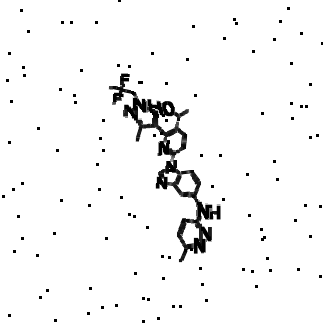 Cc1ccc(Nc2ccc3c(c2)ncn3-c2ccc(C(C)O)c(-c3cn(CC(C)(F)F)nc3C)n2)nn1